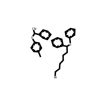 BrCCCCCCC(Sc1ccccc1)c1ccccc1.Cc1ccc(SC(C#N)c2ccccc2)cc1